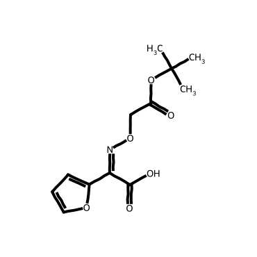 CC(C)(C)OC(=O)CON=C(C(=O)O)c1ccco1